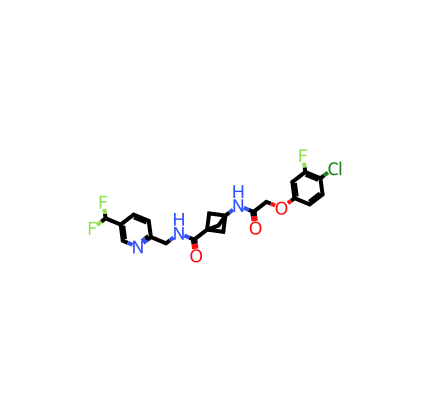 O=C(COc1ccc(Cl)c(F)c1)NC12CC(C(=O)NCc3ccc(C(F)F)cn3)(C1)C2